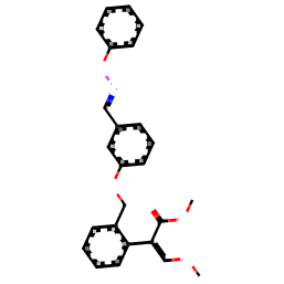 COC=C(C(=O)OC)c1ccccc1COc1cccc(C=NOc2ccccc2)c1